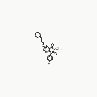 Cn1c(=O)c2nc(OCCCN3CCCCC3)nnc2n(-c2ccc(F)cc2)c1=O